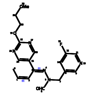 C/C=C\C(=N/N(C=O)Cc1cncc(F)c1)c1cnc(OCCOC)nc1